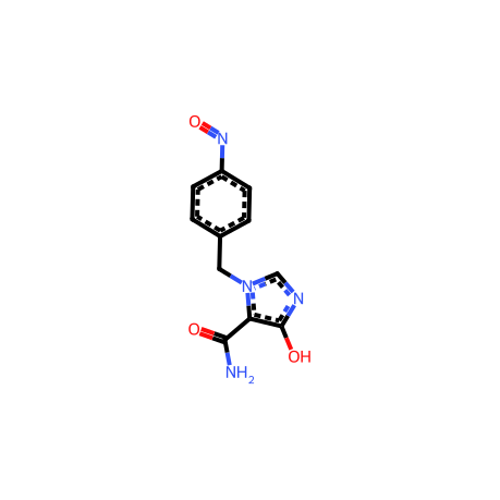 NC(=O)c1c(O)ncn1Cc1ccc(N=O)cc1